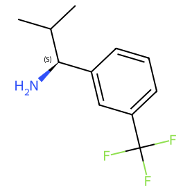 CC(C)[C@H](N)c1cccc(C(F)(F)F)c1